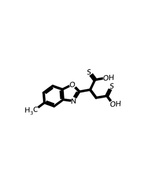 Cc1ccc2oc(C(CC(O)=S)C(O)=S)nc2c1